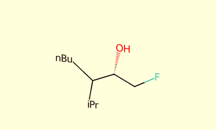 CCCCC(C(C)C)[C@H](O)CF